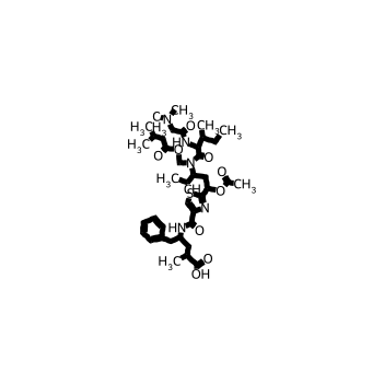 CCC(C)C(NC(=O)CN(C)C)C(=O)N(COC(=O)CC(C)C)C(CC(OC(C)=O)c1nc(C(=O)NC(Cc2ccccc2)CC(C)C(=O)O)cs1)C(C)C